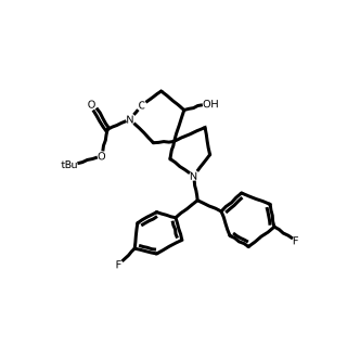 CC(C)(C)OC(=O)N1CCC(O)C2(CCN(C(c3ccc(F)cc3)c3ccc(F)cc3)C2)C1